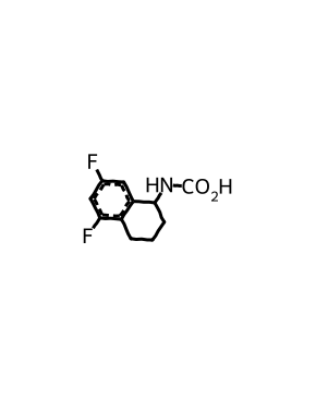 O=C(O)NC1CCCc2c(F)cc(F)cc21